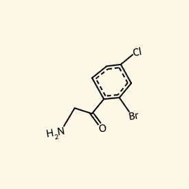 NCC(=O)c1ccc(Cl)cc1Br